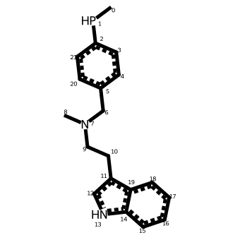 CPc1ccc(CN(C)CCc2c[nH]c3ccccc23)cc1